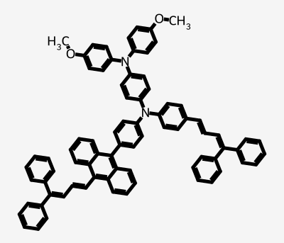 COc1ccc(N(c2ccc(OC)cc2)c2ccc(N(c3ccc(C=CC=C(c4ccccc4)c4ccccc4)cc3)c3ccc(-c4c5ccccc5c(C=CC=C(c5ccccc5)c5ccccc5)c5ccccc45)cc3)cc2)cc1